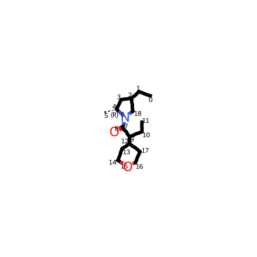 CCC1C[C@@H](C)N(C(=O)C(CC)C2CCOCC2)C1